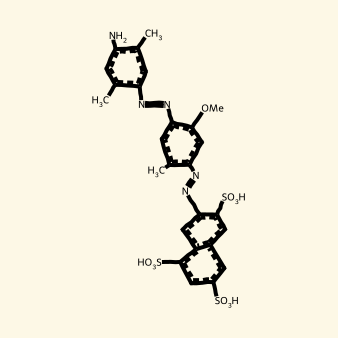 COc1cc(N=Nc2cc3c(S(=O)(=O)O)cc(S(=O)(=O)O)cc3cc2S(=O)(=O)O)c(C)cc1N=Nc1cc(C)c(N)cc1C